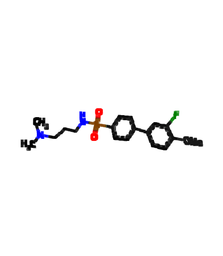 COc1ccc(-c2ccc(S(=O)(=O)NCCCN(C)C)cc2)cc1F